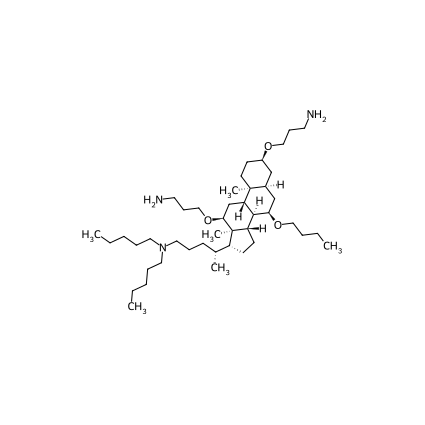 CCCCCN(CCCCC)CCC[C@@H](C)[C@H]1CC[C@H]2[C@@H]3[C@H](OCCCC)C[C@@H]4C[C@H](OCCCN)CC[C@]4(C)[C@H]3C[C@H](OCCCN)[C@]12C